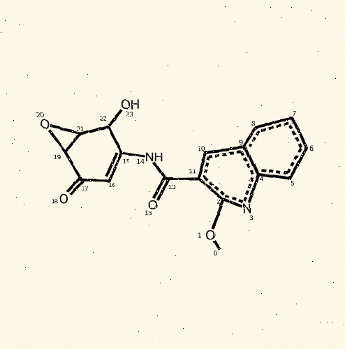 COc1nc2ccccc2cc1C(=O)NC1=CC(=O)C2OC2C1O